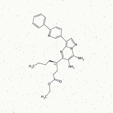 CCCC[C@H](CCC(=O)OCC)c1nc2c(-c3ccc(-c4ccccc4)nc3)cnn2c(N)c1N